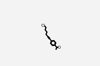 CC(=O)c1ccc(C#CCCCCCl)cc1